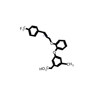 Cc1cc(CC(=O)O)cc(Oc2ccccc2OC/C=C/c2ccc(C(F)(F)F)cc2)c1